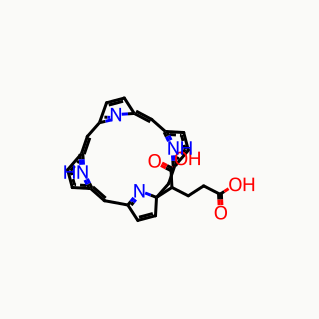 O=C(O)CCC(C(=O)O)C12C=CC(=N1)C=c1ccc([nH]1)=CC1=NC(=Cc3ccc([nH]3)C2)C=C1